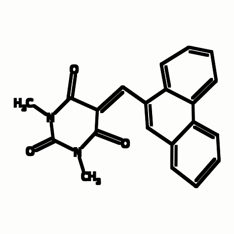 CN1C(=O)C(=Cc2cc3ccccc3c3ccccc23)C(=O)N(C)C1=O